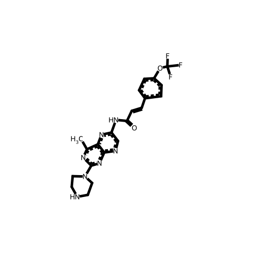 Cc1nc(N2CCNCC2)nc2ncc(NC(=O)C=Cc3ccc(OC(F)(F)F)cc3)nc12